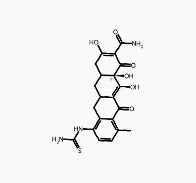 Cc1ccc(NC(N)=S)c2c1C(=O)C1=C(O)[C@@]3(O)C(=O)C(C(N)=O)=C(O)CC3CC1C2